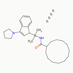 C[Si](C)(NC(=O)C1CCCCCCCCCCC1)C1C=C(N2CCCC2)c2ccccc21.[Ti].[Ti].[Ti].[Ti]